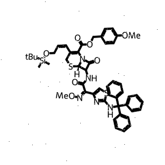 CO/N=C(\C(=O)NC1C(=O)N2C(C(=O)OCc3ccc(OC)cc3)=C(/C=C\CO[Si](C)(C)C(C)(C)C)CS[C@@H]12)c1csc(NC(c2ccccc2)(c2ccccc2)c2ccccc2)n1